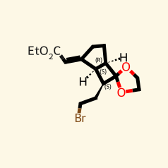 CCOC(=O)C=C1CC[C@@H]2[C@H]1[C@H](CCBr)C21OCCO1